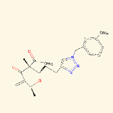 C=C1C(=O)[C@](C)(C(=O)OC)[C@@H](CCc2cn(Cc3cccc(OC)c3)nn2)O[C@H]1C